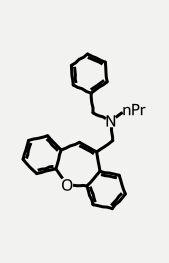 CCCN(CC1=Cc2ccccc2Oc2ccccc21)Cc1ccccc1